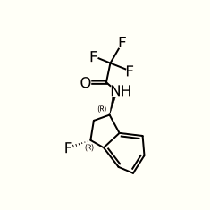 O=C(N[C@@H]1C[C@@H](F)c2ccccc21)C(F)(F)F